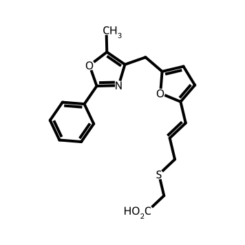 Cc1oc(-c2ccccc2)nc1Cc1ccc(C=CCSCC(=O)O)o1